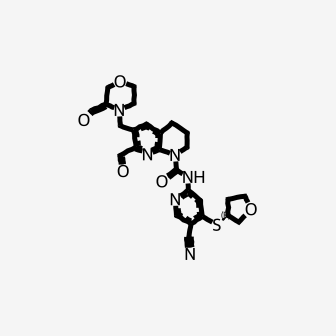 N#Cc1cnc(NC(=O)N2CCCc3cc(CN4CCOCC4=C=O)c(C=O)nc32)cc1S[C@@H]1CCOC1